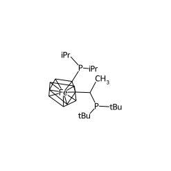 CC(C)P(C(C)C)[C]12[CH]3[CH]4[CH]5[C]1(C(C)P(C(C)(C)C)C(C)(C)C)[Fe]45321678[CH]2[CH]1[CH]6[CH]7[CH]28